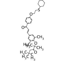 Cc1cc(/C=C/C(=O)c2ccc(OCCSC3CCCCC3)cc2)cc(C)c1OC(C)(C)C(=O)CC(C)(C)C